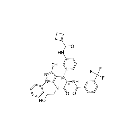 Cc1nn(-c2ccccc2)c2c1[C@H](c1cccc(NC(=O)C3=CCC3)c1)[C@@H](NC(=O)c1cccc(C(F)(F)F)c1)C(=O)N2CCO